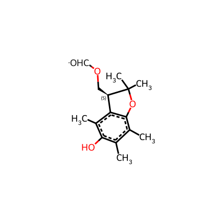 Cc1c(C)c2c(c(C)c1O)[C@@H](CO[C]=O)C(C)(C)O2